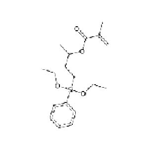 C=C(C)C(=O)OC(C)CC[Si](OCC)(OCC)c1ccccc1